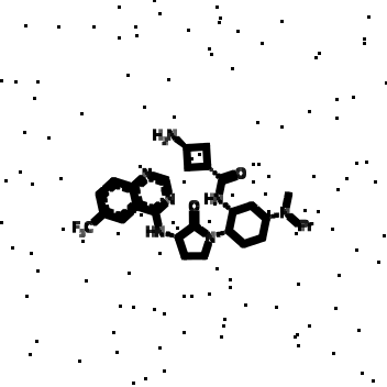 CC(C)N(C)[C@@H]1CC[C@H](N2CC[C@H](Nc3ncnc4ccc(C(F)(F)F)cc34)C2=O)[C@H](NC(=O)[C@H]2C[C@H](N)C2)C1